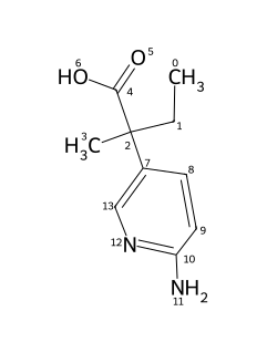 CCC(C)(C(=O)O)c1ccc(N)nc1